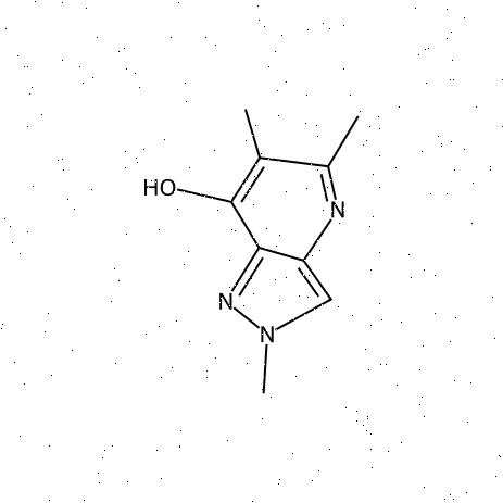 Cc1nc2cn(C)nc2c(O)c1C